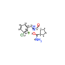 NC(=O)[C@@H]1CCC[C@H]1C(=O)NCc1cccc(Cl)c1F